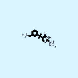 CC(C)(c1cccc(CN)c1)c1cnc(N[N+](=O)[O-])[nH]c1=O